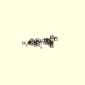 COc1cc(C(=O)OC(C)OC(=O)OC(C)(C)CCOP(C)C)ccc1NC(=O)[C@@H]1N[C@@H](CC(C)(C)C)[C@@]2(C(=O)Nc3cc(Cl)ccc32)[C@H]1c1cccc(Cl)c1